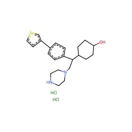 Cl.Cl.OC1CCC(C(CN2CCNCC2)c2ccc(-c3ccsc3)cc2)CC1